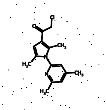 Cc1cc(C)nc(-n2c(C)cc(C(=O)CCl)c2C)c1